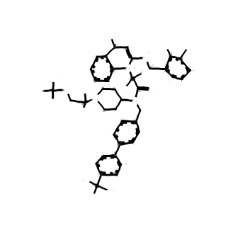 [2H]C([2H])([2H])OCC([2H])([2H])N1CCC(N(Cc2ccc(-c3ccc(C(F)(F)F)cc3)cc2)C(=O)C([2H])([2H])N2C(SCc3cccc(F)c3F)=CC(O)c3ccccc32)CC1